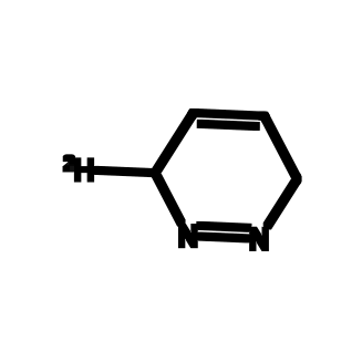 [2H]C1C=CCN=N1